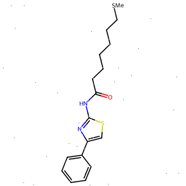 CSCCCCCCC(=O)Nc1nc(-c2ccccc2)cs1